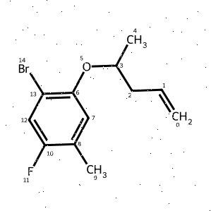 C=CCC(C)Oc1cc(C)c(F)cc1Br